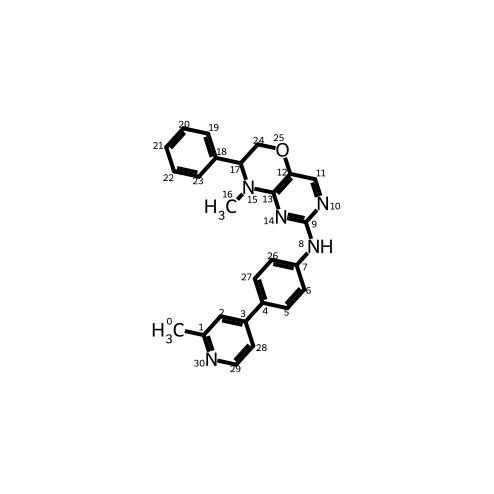 Cc1cc(-c2ccc(Nc3ncc4c(n3)N(C)C(c3ccccc3)CO4)cc2)ccn1